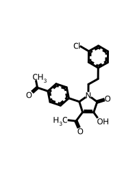 CC(=O)C1=C(O)C(=O)N(CCc2cccc(Cl)c2)C1c1ccc(C(C)=O)cc1